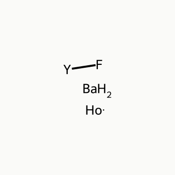 [BaH2].[F][Y].[Ho]